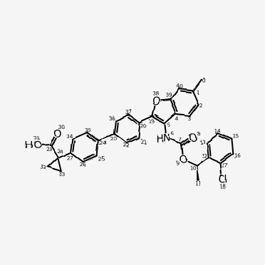 Cc1ccc2c(NC(=O)O[C@H](C)c3ccccc3Cl)c(-c3ccc(-c4ccc(C5(C(=O)O)CC5)cc4)cc3)oc2c1